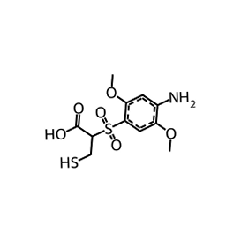 COc1cc(S(=O)(=O)C(CS)C(=O)O)c(OC)cc1N